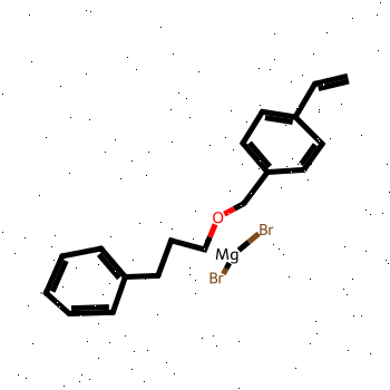 C=Cc1ccc(COCCCc2cc[c]cc2)cc1.[Br][Mg][Br]